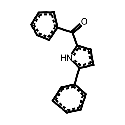 O=C(c1ccccc1)c1ccc(-c2ccccc2)[nH]1